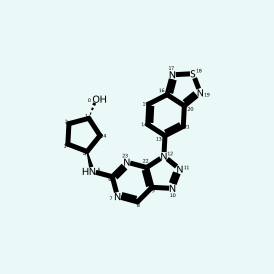 O[C@H]1CC[C@H](Nc2ncc3nnn(-c4ccc5nsnc5c4)c3n2)C1